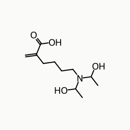 C=C(CCCCN(C(C)O)C(C)O)C(=O)O